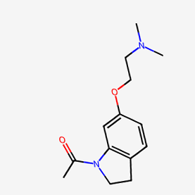 CC(=O)N1CCc2ccc(OCCN(C)C)cc21